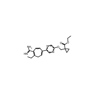 CCOC(=O)C1(COc2cnc(C3=CCC(CC)=C(C(=N)N)C=C3)cn2)CC1